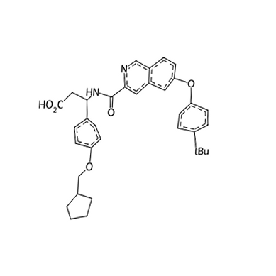 CC(C)(C)c1ccc(Oc2ccc3cnc(C(=O)NC(CC(=O)O)c4ccc(OCC5CCCC5)cc4)cc3c2)cc1